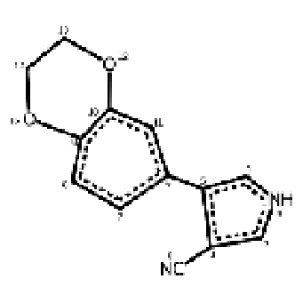 N#Cc1c[nH]cc1-c1ccc2c(c1)OCCO2